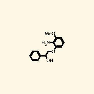 COc1cccc(OCC(O)c2ccccc2)c1N